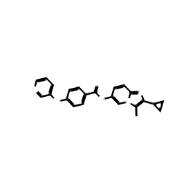 Cc1c(C2CC2)nc2ccc(NC(=O)c3ccc(Oc4cccnc4)cc3)cn12